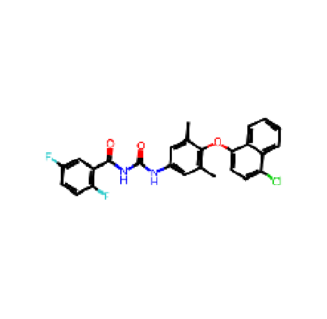 Cc1cc(NC(=O)NC(=O)c2cc(F)ccc2F)cc(C)c1Oc1ccc(Cl)c2ccccc12